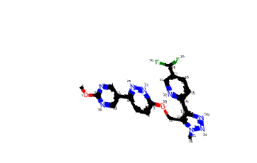 COc1ncc(-c2ccc(OCc3c(-c4ccc(C(F)F)cn4)nnn3C)nn2)cn1